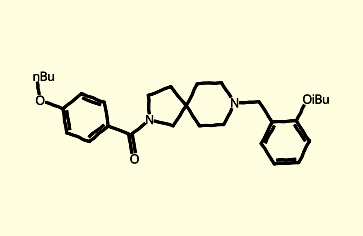 CCCCOc1ccc(C(=O)N2CCC3(CCN(Cc4ccccc4OCC(C)C)CC3)C2)cc1